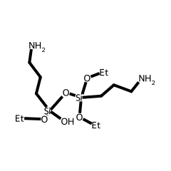 CCO[Si](O)(CCCN)O[Si](CCCN)(OCC)OCC